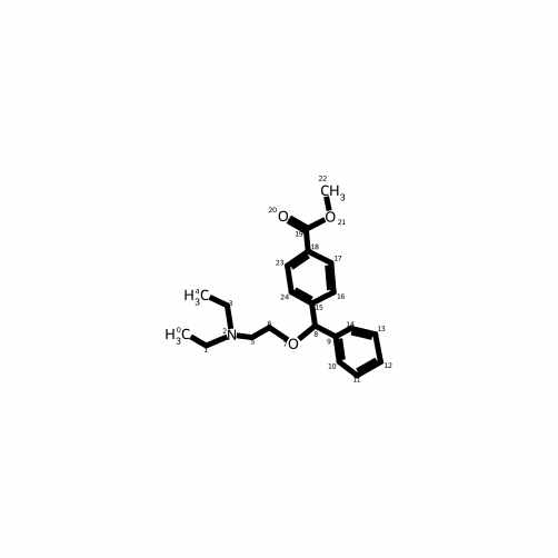 CCN(CC)CCOC(c1ccccc1)c1ccc(C(=O)OC)cc1